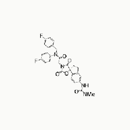 CNC(=O)Nc1ccc2c(c1)CC[C@@]21OC(=O)N(CC(=O)N(Cc2ccc(F)cc2)c2ccc(F)cc2)C1=O